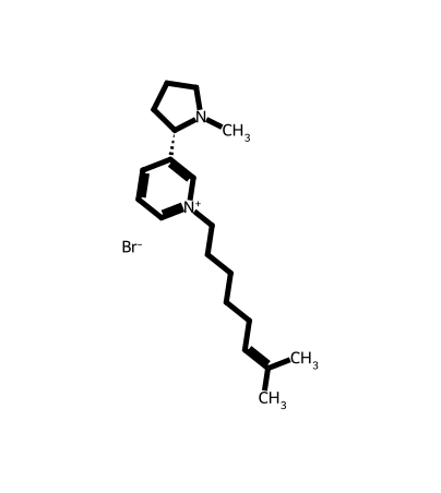 CC(C)=CCCCCC[n+]1cccc([C@@H]2CCCN2C)c1.[Br-]